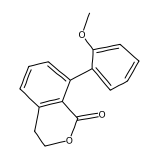 COc1ccccc1-c1cccc2c1C(=O)OCC2